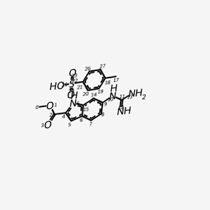 COC(=O)c1cc2ccc(NC(=N)N)cc2[nH]1.Cc1ccc(S(=O)(=O)O)cc1